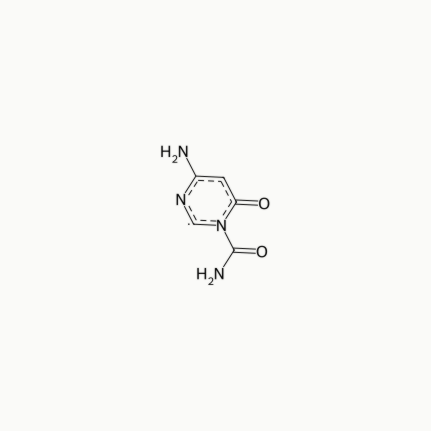 NC(=O)n1[c]nc(N)cc1=O